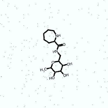 CC1OC(CNC(=O)C2CCCCCN2)C(O)C(O)C1O